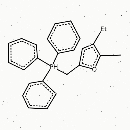 CCc1cc(C[PH](c2ccccc2)(c2ccccc2)c2ccccc2)oc1C